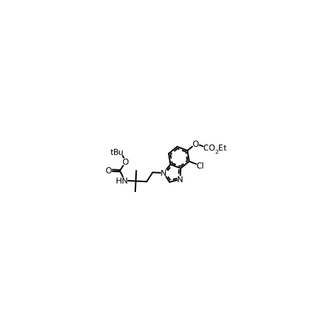 CCOC(=O)Oc1ccc2c(ncn2CCC(C)(C)NC(=O)OC(C)(C)C)c1Cl